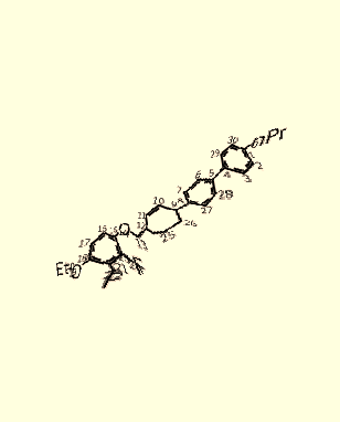 CCCc1ccc(-c2ccc(C3C=CC(COc4ccc(OCC)c(F)c4F)CC3)cc2)cc1